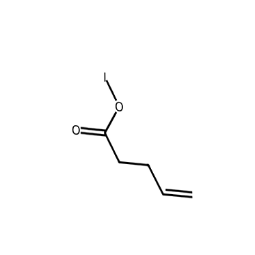 C=CCCC(=O)OI